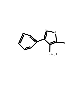 Cc1snc(-c2ccccc2)c1C(=O)O